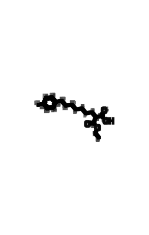 CCOC(=O)C(CCCCCCCc1ccc(C)cc1)C(=O)O